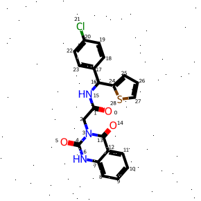 O=C(Cn1c(=O)[nH]c2ccccc2c1=O)NC(c1ccc(Cl)cc1)c1cccs1